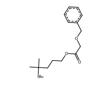 CC(C)(C)C(C)(C)CCCOC(=O)COCc1ccccc1